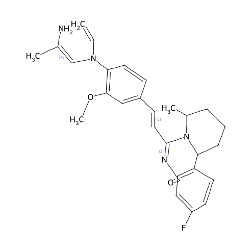 C=CN(/C=C(/C)N)c1ccc(/C=C/C(=N/C=O)N2C(C)CCCC2c2ccc(F)cc2)cc1OC